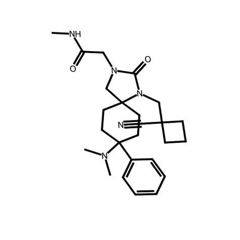 CNC(=O)CN1CC2(CCC(c3ccccc3)(N(C)C)CC2)N(CC2(C#N)CCC2)C1=O